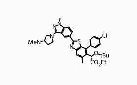 CCOC(=O)[C@@H](OC(C)(C)C)c1c(C)cc2nc(-c3ccc4c(c3)c(N3CC[C@@H](NC)C3)nn4C)sc2c1-c1ccc(Cl)cc1